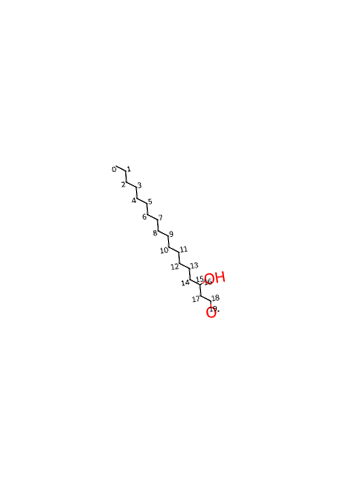 CCCCCCCCCCCCCCCC(O)CC[O]